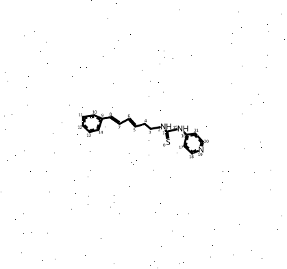 S=C(NCCC=CC=Cc1ccccc1)Nc1ccncc1